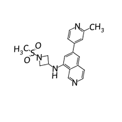 Cc1cc(-c2cc(NC3CN(S(C)(=O)=O)C3)c3cnccc3c2)ccn1